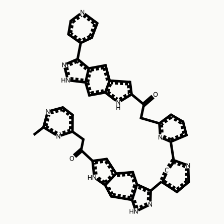 Cc1nccc(CC(=O)c2cc3cc4c(-c5ccnc(-c6cccc(CC(=O)c7cc8cc9c(-c%10ccncc%10)n[nH]c9cc8[nH]7)n6)c5)n[nH]c4cc3[nH]2)n1